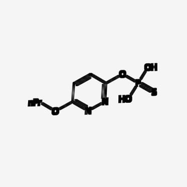 CCCOc1ccc(OP(O)(O)=S)nn1